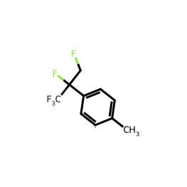 Cc1[c]cc(C(F)(CF)C(F)(F)F)cc1